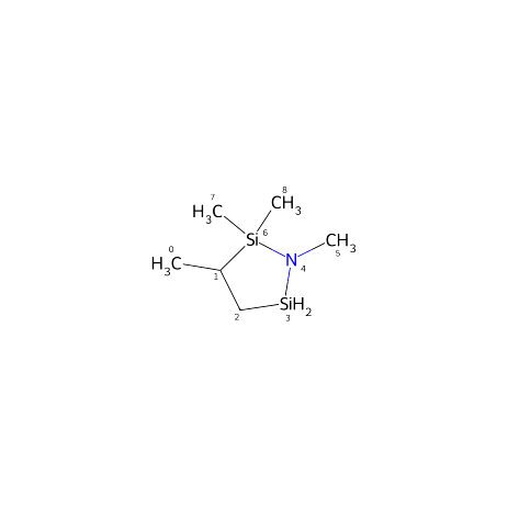 CC1C[SiH2]N(C)[Si]1(C)C